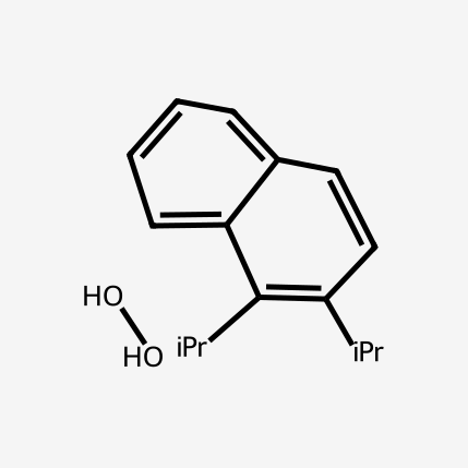 CC(C)c1ccc2ccccc2c1C(C)C.OO